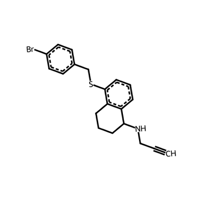 C#CCNC1CCCc2c(SCc3ccc(Br)cc3)cccc21